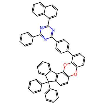 c1ccc(-c2nc(-c3ccc(-c4cccc5c4Oc4c(ccc6c4-c4ccccc4C6(c4ccccc4)c4ccccc4)O5)cc3)nc(-c3cccc4ccccc34)n2)cc1